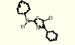 [CH2]Cc1sc(N(CC)c2ccccc2)nc1-c1ccccc1